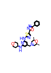 C[C@@H]1CN(Cc2cc(Nc3ncc(-c4nnc(-c5ccccc5)o4)s3)nc(NC3CCOCC3)c2)C[C@H](C)O1